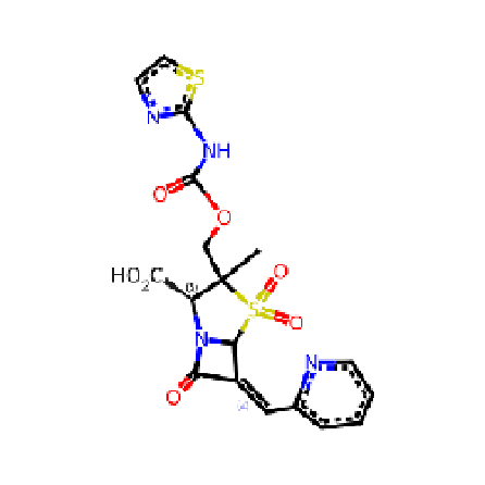 CC1(COC(=O)Nc2nccs2)[C@H](C(=O)O)N2C(=O)/C(=C/c3ccccn3)C2S1(=O)=O